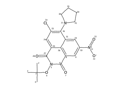 CC(C)(C)ON1C(=O)c2cc([N+](=O)[O-])cc3c(N4CCCC4)c(Cl)cc(c23)C1=O